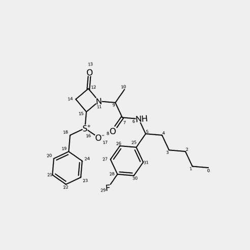 CCCCCC(NC(=O)C(C)N1C(=O)CC1[S+]([O-])Cc1ccccc1)c1ccc(F)cc1